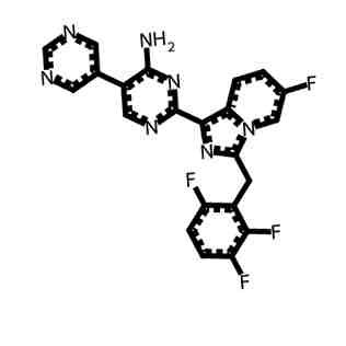 Nc1nc(-c2nc(Cc3c(F)ccc(F)c3F)n3cc(F)ccc23)ncc1-c1cncnc1